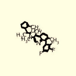 Cc1ccccc1C(C)C(=O)N(C)c1cnc2c(-c3cc(F)cc(F)c3F)c(C)ccc2c1C